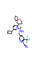 N#Cc1ncc(CNCC[C@@]2(c3ccc(C4CCC4)cn3)CCOC3(CCCC3)C2)cc1C(F)(F)F